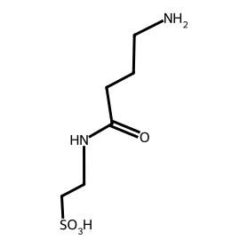 NCCCC(=O)NCCS(=O)(=O)O